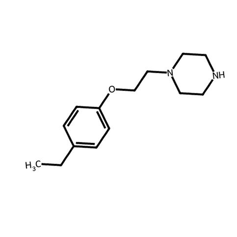 CCc1ccc(OCCN2CCNCC2)cc1